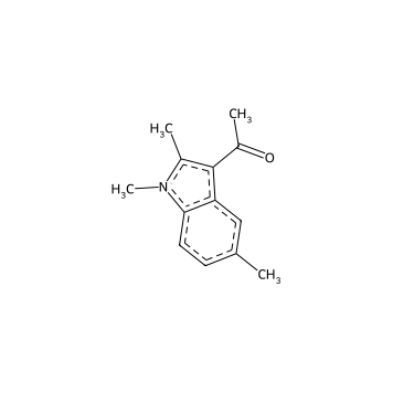 CC(=O)c1c(C)n(C)c2ccc(C)cc12